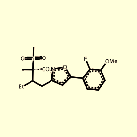 CCC(Cc1cc(-c2cccc(OC)c2F)on1)[C@](C)(C(=O)O)S(C)(=O)=O